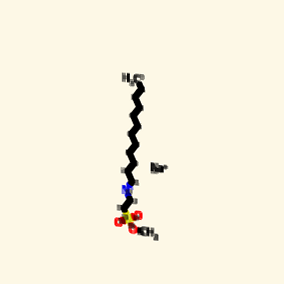 CCCCCCCCCCCC[N-]CCS(=O)(=O)OC.[Na+]